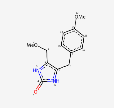 COCc1[nH]c(=O)[nH]c1Cc1ccc(OC)cc1